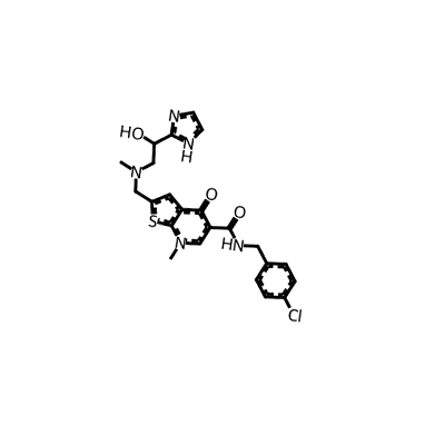 CN(Cc1cc2c(=O)c(C(=O)NCc3ccc(Cl)cc3)cn(C)c2s1)CC(O)c1ncc[nH]1